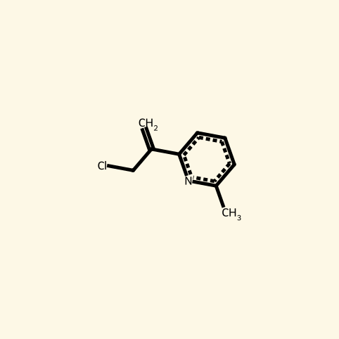 C=C(CCl)c1cccc(C)n1